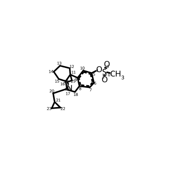 CS(=O)(=O)Oc1ccc2c(c1)C13CCCCC1C(C2)N(CC1CC1)CC3